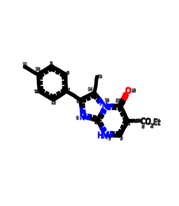 CCOC(=O)c1c[nH]c2nc(-c3ccc(C)cc3)c(C)n2c1=O